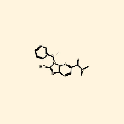 C[C@@H](c1ccccc1)n1c(O)nc2ncc(C(=O)N(C)C)nc21